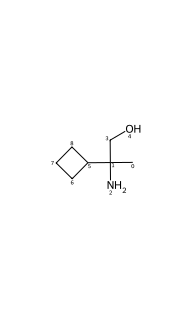 CC(N)(CO)C1CCC1